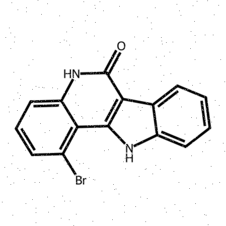 O=c1[nH]c2cccc(Br)c2c2[nH]c3ccccc3c12